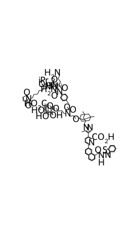 Cc1c(-c2ccc(-c3ccc4cccc(C(=O)Nc5nc6ccccc6s5)c4c3)nc2C(=O)O)cnn1CC12CC3(C)CC(C)(C1)CC(OCCN(CCCO[C@H]1O[C@@H](C(=O)O)[C@H](O)[C@@H](O)[C@@H]1O)C(=O)OCc1ccc(N(C(N)=O)C(=O)[C@H](CCCN)NC(=O)[C@@H](NC(=O)CCCCCN4C(=O)C=CC4=O)C(C)C)cc1)(C3)C2